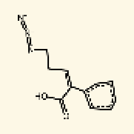 [N-]=[N+]=NCCC=C(C(=O)O)c1ccccc1